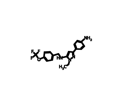 CCn1nc(-c2ccc(N)cc2)cc1NCc1ccc(OC(F)(F)F)cc1